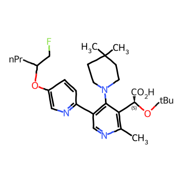 CCCC(CF)Oc1ccc(-c2cnc(C)c([C@H](OC(C)(C)C)C(=O)O)c2N2CCC(C)(C)CC2)nc1